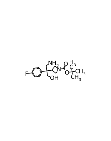 CC(C)(C)OC(=O)N1CC(C(CN)(CO)c2ccc(F)cc2)C1